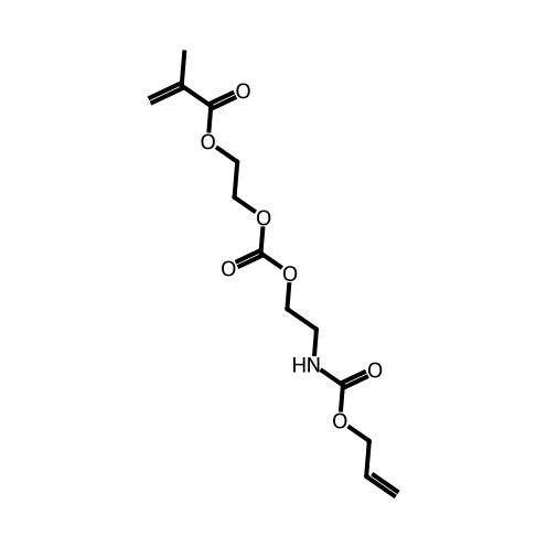 C=CCOC(=O)NCCOC(=O)OCCOC(=O)C(=C)C